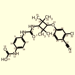 CC1(C)C(NC(=O)Nc2ccc(NC(=O)O)cc2)C(C)(C)C1Oc1ccc(C#N)c(Cl)c1